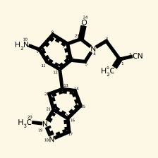 C=C(C#N)CN1Cc2c(cc(N)cc2-c2ccc3cnn(C)c3c2)C1=O